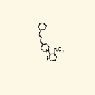 O=[N+]([O-])c1cccnc1N1CCC(=C/C=C/c2ccccc2)CC1